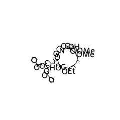 CCC1/C=C(\C)CC(C)CC(OC)C2OC(O)(C(=O)C(=O)N3CCCCC3C(=O)OC(C(C)=CC3CCC(OCC(=O)c4ccccc4)C(OCC(=O)c4ccccc4)C3)C(C)C(O)CC1=O)C(C)CC2OC